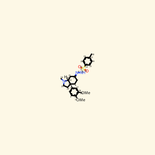 COc1ccc([C@]23CC/C(=N\NS(=O)(=O)c4ccc(C)cc4)C[C@H]2N(C)CC3)cc1OC